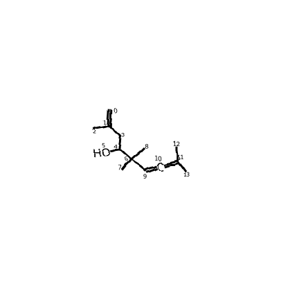 C=C(C)CC(O)C(C)(C)C=C=C(C)C